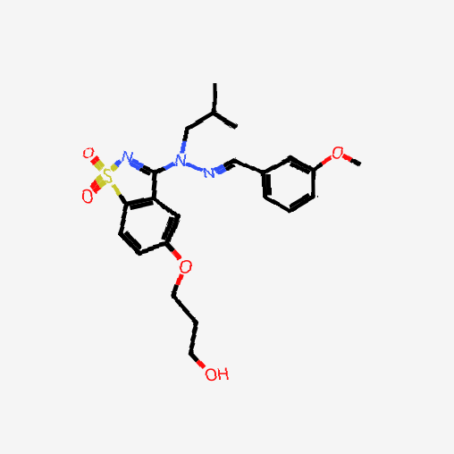 COc1[c]ccc(/C=N/N(CC(C)C)C2=NS(=O)(=O)c3ccc(OCCCO)cc32)c1